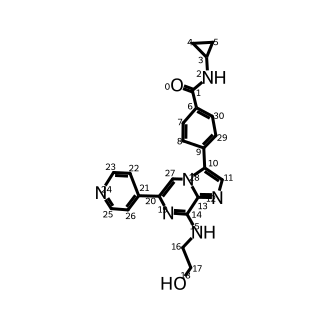 O=C(NC1CC1)c1ccc(-c2cnc3c(NCCO)nc(-c4ccncc4)cn23)cc1